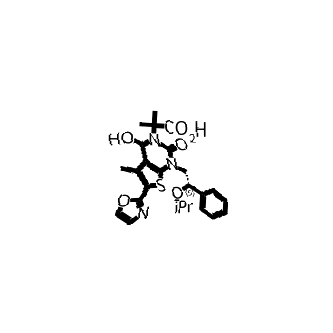 Cc1c(-c2ncco2)sc2c1C(O)N(C(C)(C)C(=O)O)C(=O)N2C[C@@H](OC(C)C)c1ccccc1